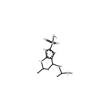 COC(C)NC1CC(C)Sc2sc(S(N)(=O)=O)cc21